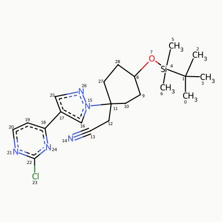 CC(C)(C)[Si](C)(C)OC1CCC(CC#N)(n2cc(-c3ccnc(Cl)n3)cn2)CC1